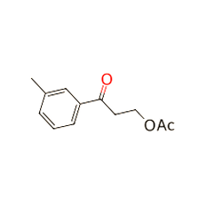 CC(=O)OCCC(=O)c1cccc(C)c1